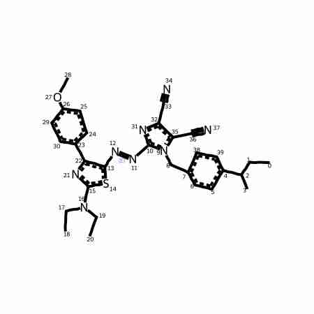 CCC(C)c1ccc(Cn2c(/N=N/c3sc(N(CC)CC)nc3-c3ccc(OC)cc3)nc(C#N)c2C#N)cc1